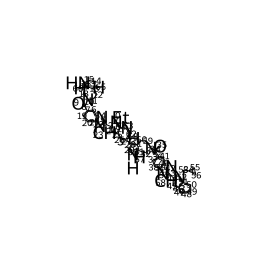 CCn1c(-c2nc3cc(C(=O)N4CC[C@H]5CCN[C@H]5C4)ccc3n2C)cc2cc(C3CN[C@@H]4CN(C(=O)c5ccc6c(c5)nc(-c5cc7ccccc7n5CC5CC5)n6C)CC[C@H]34)cnc21